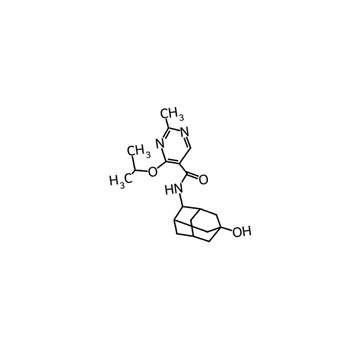 Cc1ncc(C(=O)NC2C3CC4CC2CC(O)(C4)C3)c(OC(C)C)n1